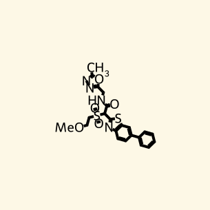 COCCS(=O)(=O)C(C(=O)NCc1nnc(C)o1)c1nc2ccc(-c3ccccc3)cc2s1